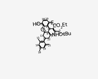 CCOC(=O)C1=C(COC(C)(C)C)NC2=C(C(=O)CC(c3c(C)cc(C)cc3C)C2)C1c1cc(O)ccc1F